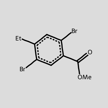 CCc1cc(Br)c(C(=O)OC)cc1Br